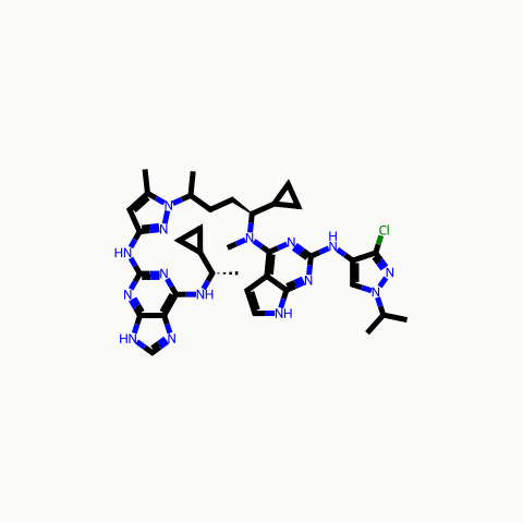 Cc1cc(Nc2nc(N[C@@H](C)C3CC3)c3nc[nH]c3n2)nn1C(C)CC[C@@H](C1CC1)N(C)c1nc(Nc2cn(C(C)C)nc2Cl)nc2[nH]ccc12